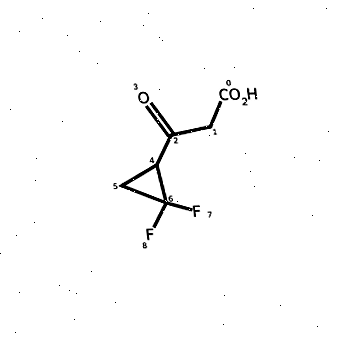 O=C(O)CC(=O)C1CC1(F)F